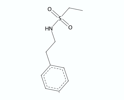 CCS(=O)(=O)NCCc1cc[c]cc1